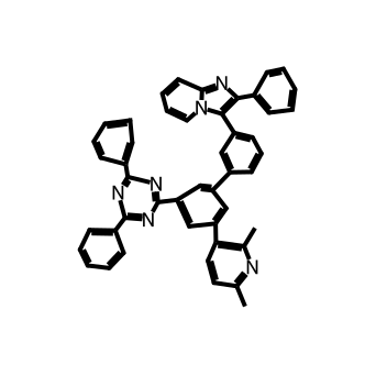 Cc1ccc(-c2cc(-c3cccc(-c4c(-c5ccccc5)nc5ccccn45)c3)cc(-c3nc(-c4ccccc4)nc(-c4ccccc4)n3)c2)c(C)n1